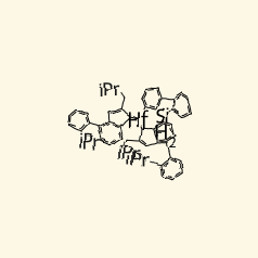 CC(C)CC1=Cc2c(-c3ccccc3C(C)C)cccc2[CH]1[Hf]([c]1cccc2c1[SiH2]c1ccccc1-2)[CH]1C(CC(C)C)=Cc2c(-c3ccccc3C(C)C)cccc21